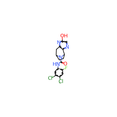 O=C(Nc1cc(Cl)c(Cl)cc1F)N1C2CCC1c1ncc(O)nc1C2